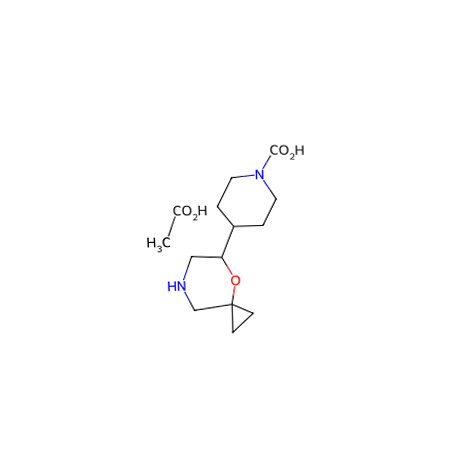 CC(=O)O.O=C(O)N1CCC(C2CNCC3(CC3)O2)CC1